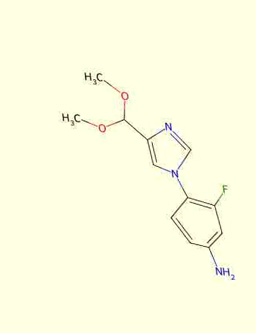 COC(OC)c1cn(-c2ccc(N)cc2F)cn1